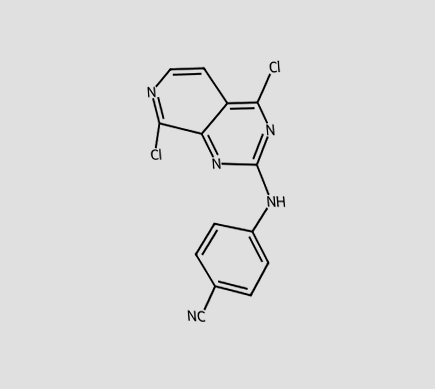 N#Cc1ccc(Nc2nc(Cl)c3ccnc(Cl)c3n2)cc1